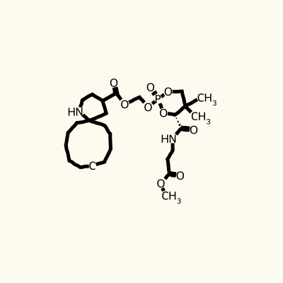 COC(=O)CCNC(=O)[C@@H]1OP(=O)(OCOC(=O)C2CCNC3(CCCCCCCCCC3)C2)OCC1(C)C